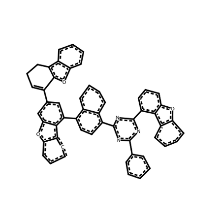 C1=C(c2cc(-c3ccc(-c4nc(-c5ccccc5)nc(-c5cccc6oc7ccccc7c56)n4)c4ccccc34)c3c(c2)oc2ccccc23)c2oc3ccccc3c2CC1